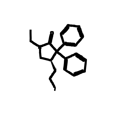 CCN1C[C@@H](CCI)C(c2ccccc2)(c2ccccc2)C1=O